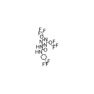 O=C(Nc1ccc(C(F)(F)F)cc1)Nc1nc(OCC(F)(F)F)nc(OCC(F)(F)F)n1